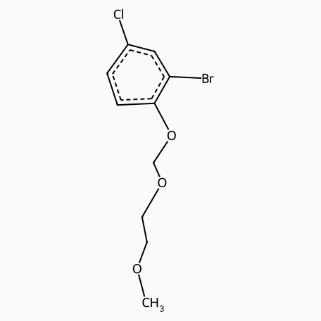 COCCOCOc1ccc(Cl)cc1Br